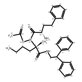 C[C@](CCCN)(C(=O)NCC(c1ccccc1)c1ccccc1)N(OC(=O)C(F)(F)F)C(=O)[C@@H](N)CCc1ccccc1